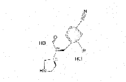 Cl.N#Cc1ccc(C[C@H](C(=O)O)[C@H]2CCNC2)c(Br)c1